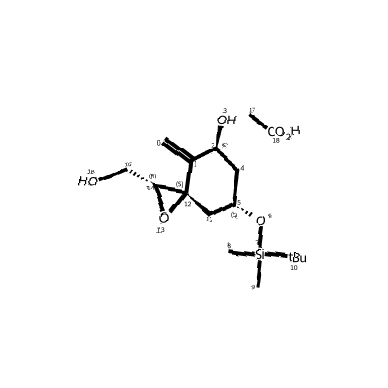 C=C1[C@@H](O)C[C@H](O[Si](C)(C)C(C)(C)C)C[C@]12O[C@@H]2CO.CC(=O)O